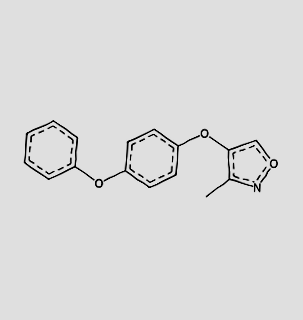 Cc1nocc1Oc1ccc(Oc2ccccc2)cc1